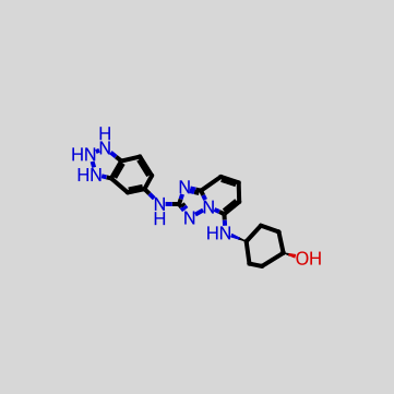 O[C@H]1CC[C@@H](Nc2cccc3nc(Nc4ccc5c(c4)NNN5)nn23)CC1